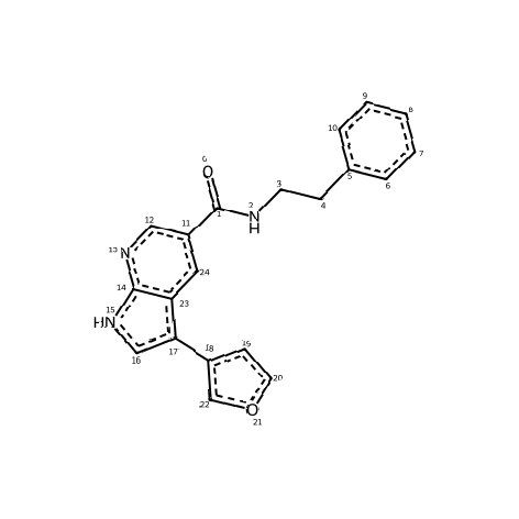 O=C(NCCc1ccccc1)c1cnc2[nH]cc(-c3ccoc3)c2c1